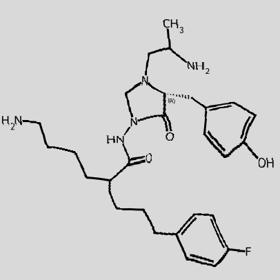 CC(N)CN1CN(NC(=O)C(CCCCN)CCCc2ccc(F)cc2)C(=O)[C@H]1Cc1ccc(O)cc1